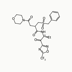 CC[C@H](NC(=O)C(CC(=O)N1CCOCC1)CS(=O)(=O)Cc1ccccc1)C(=O)c1noc(C(F)(F)F)n1